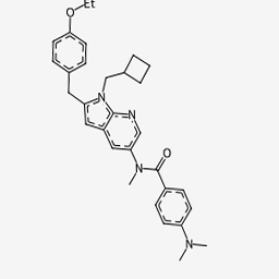 CCOc1ccc(Cc2cc3cc(N(C)C(=O)c4ccc(N(C)C)cc4)cnc3n2CC2CCC2)cc1